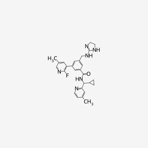 Cc1ccnc(C(NC(=O)c2cc(CNC3=NCCN3)cc(-c3cc(C)cnc3F)c2)C2CC2)c1